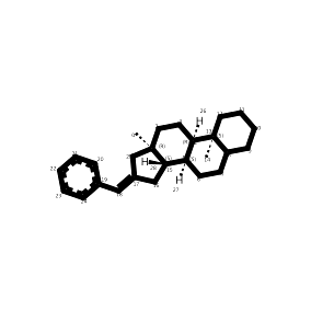 C[C@]12CC[C@@H]3[C@@H](CCC4CCCC[C@@]43C)[C@@H]1CC(=Cc1ccccc1)C2